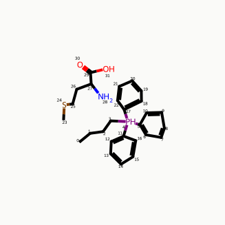 CCCC[PH](c1ccccc1)(c1ccccc1)c1ccccc1.CSCCC(N)C(=O)O